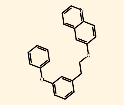 c1ccc(Oc2cccc(CCOc3ccc4ncccc4c3)c2)cc1